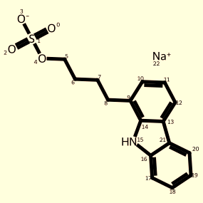 O=S(=O)([O-])OCCCCc1cccc2c1[nH]c1ccccc12.[Na+]